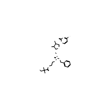 CC1C(O)[C@@H](COP(=O)(NCc2ccccc2)OCCSC(=O)C(C)(C)CO)O[C@H]1n1ccc(N)nc1=O